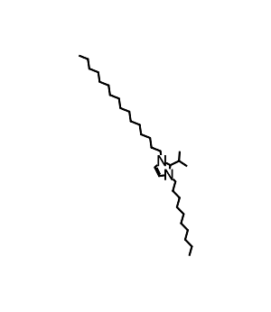 CCCCCCCCCCCCCCCCN1C=CN(CCCCCCCCCC)C1C(C)C